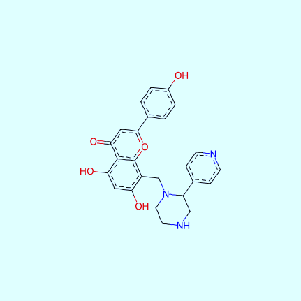 O=c1cc(-c2ccc(O)cc2)oc2c(CN3CCNCC3c3ccncc3)c(O)cc(O)c12